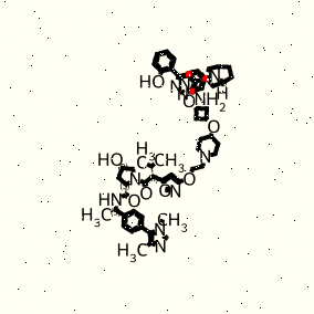 Cc1ncn(C)c1-c1ccc([C@H](C)NC(=O)[C@@H]2C[C@@H](O)CN2C(=O)[C@@H](c2cc(OCCN3CCC(OC4CC(Oc5cc(N6C7CC[C@@H]6CN(c6cc(-c8ccccc8O)nnc6N)C7)ccn5)C4)CC3)no2)C(C)C)cc1